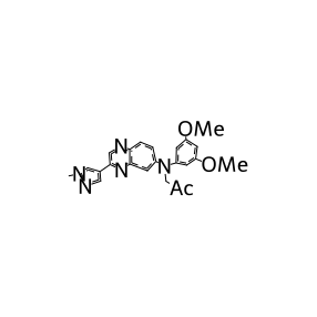 COc1cc(OC)cc(N(CC(C)=O)c2ccc3ncc(-c4cnn(C)c4)nc3c2)c1